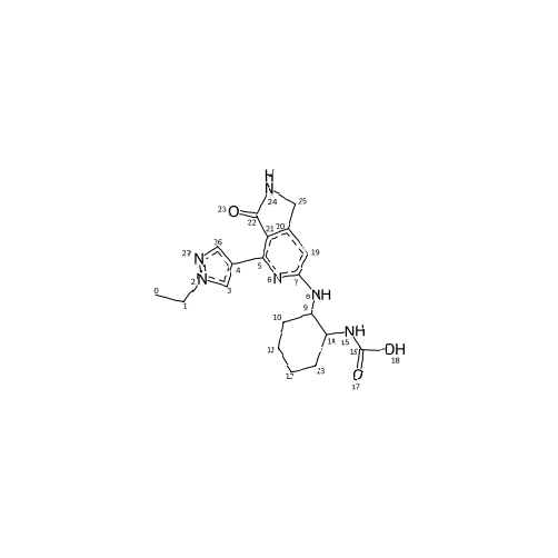 CCn1cc(-c2nc(NC3CCCCC3NC(=O)O)cc3c2C(=O)NC3)cn1